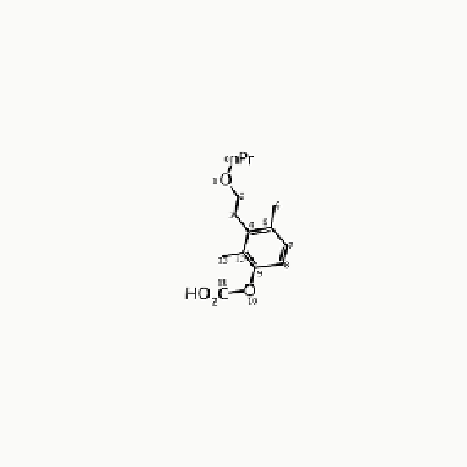 CCCOCCc1c(C)ccc(OC(=O)O)c1C